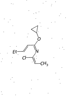 C\C=C(Cl)/N=C(\C=C\CC)OC1CC1